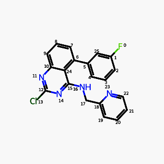 Fc1cccc(-c2cccc3nc(Cl)nc(NCc4ccccn4)c23)c1